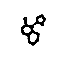 O=c1ccc2ccccc2n1-c1cccs1